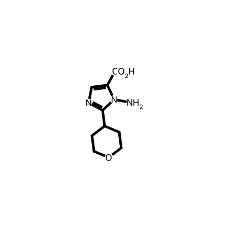 Nn1c(C(=O)O)cnc1C1CCOCC1